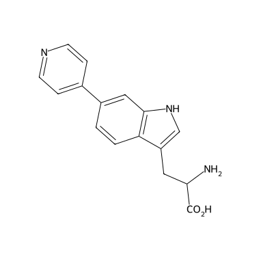 NC(Cc1c[nH]c2cc(-c3ccncc3)ccc12)C(=O)O